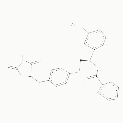 COc1cccc([C@H](COc2ccc(CC3SC(=O)NC3=O)cc2)OC(=O)c2ccccc2)c1